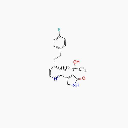 CC(C)(O)C1=C(c2cc(CCc3ccc(F)cc3)ccn2)CNC1=O